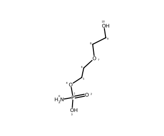 NP(=O)(O)OCCOCCO